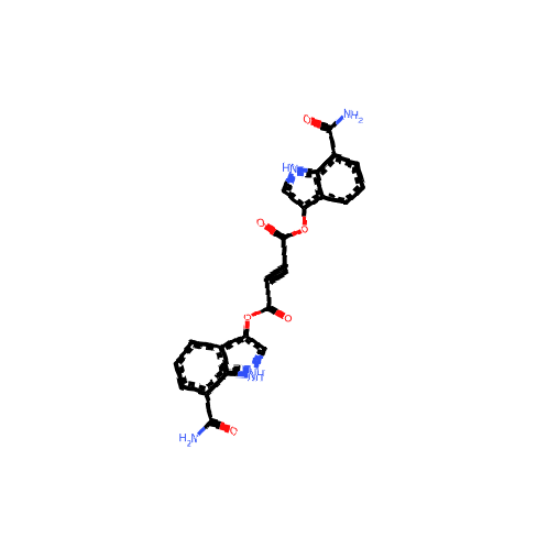 NC(=O)c1cccc2c(OC(=O)/C=C/C(=O)Oc3c[nH]c4c(C(N)=O)cccc34)c[nH]c12